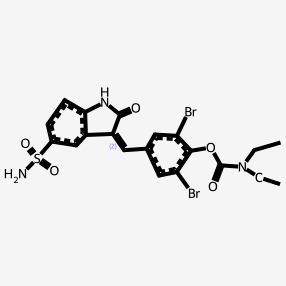 CCN(CC)C(=O)Oc1c(Br)cc(/C=C2\C(=O)Nc3ccc(S(N)(=O)=O)cc32)cc1Br